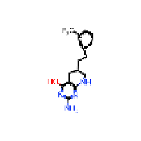 Nc1nc(O)c2c(n1)NCC(CCc1cccc(C(F)(F)F)c1)C2